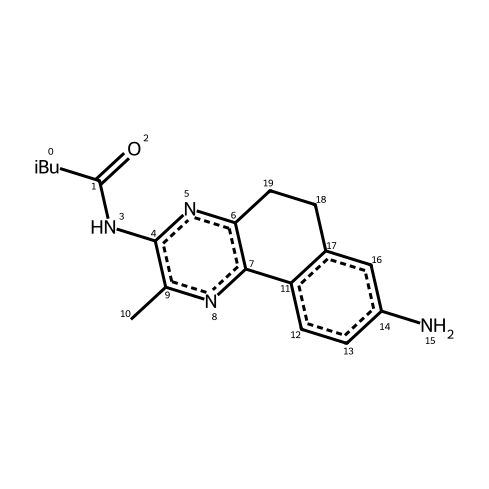 CCC(C)C(=O)Nc1nc2c(nc1C)-c1ccc(N)cc1CC2